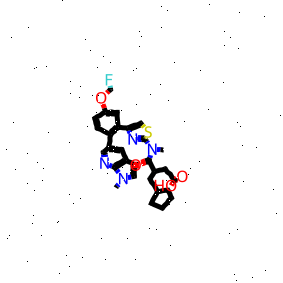 CN(C(=O)C(CC(=O)O)CC1CCCC1)c1nc(-c2cc(OCF)ccc2-c2cnc3c(ccn3C)c2)cs1